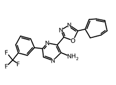 Nc1ncc(-c2cccc(C(F)(F)F)c2)nc1-c1nnc(C2=CC=CC=CC2)o1